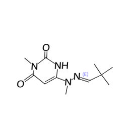 CN(/N=C/C(C)(C)C)c1cc(=O)n(C)c(=O)[nH]1